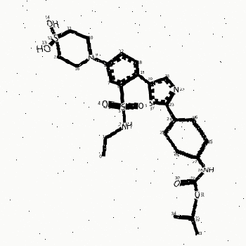 CCNS(=O)(=O)c1cc(N2CCS(O)(O)CC2)ccc1-c1cnc(C2CCC(NC(=O)OC(C)C)CC2)s1